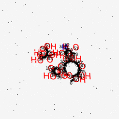 CC[C@H]1OC(=O)[C@H](C)[C@@H](O[C@H]2C[C@@](C)(OC)[C@@H](O)[C@H](C)O2)[C@@H](C)[C@@H](O[C@@H]2O[C@H](C)C[C@H](N(C)C)[C@H]2O)[C@](C)(O)C[C@@H](C)C(=O)[C@H](C)[C@H](O)[C@]1(C)O.O.O=C(O)CC(O)(CC(=O)O)C(=O)O